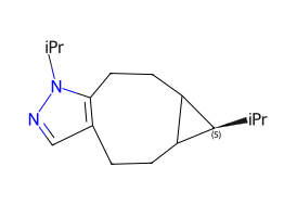 CC(C)[C@H]1C2CCc3cnn(C(C)C)c3CCC21